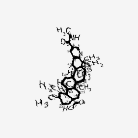 CNC(=O)c1cnc2c(c1)C[C@]1(C)[C@H]3CC=C4[C@@H]5[C@@H](C)[C@H](C)CC[C@]5(C(=O)O)CC[C@@]4(C)[C@]3(C)CC[C@H]1C2(C)C